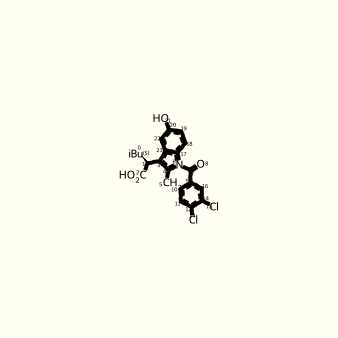 CC[C@H](C)C(C(=O)O)c1c(C)n(C(=O)c2ccc(Cl)c(Cl)c2)c2ccc(O)cc12